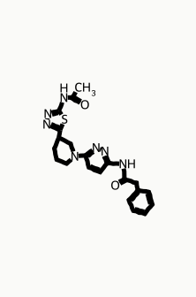 CC(=O)Nc1nnc(C2CCCN(c3ccc(NC(=O)Cc4ccccc4)nn3)C2)s1